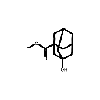 COC(=O)C12CC3CC(CC(O)(C3)C1)C2